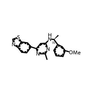 COc1cccc([C@H](C)Nc2cc(-c3ccc4ncsc4c3)nc(C)n2)c1